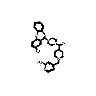 Nc1cc(CN2CCC(C(=O)N3CCN(C4=Nc5ccccc5Oc5ccc(Cl)cc54)CC3)CC2)ccn1